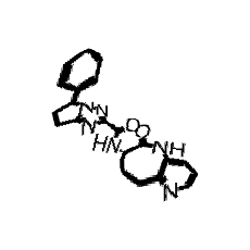 O=C(N[C@H]1CCc2ncccc2NC1=O)c1nc2n(n1)C(c1ccccc1)CC2